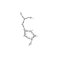 FC(F)[CH]c1cc(Cl)ns1